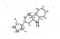 Cc1nnn(C)c1-c1cnc2c(c1)[nH]c1ccccc12